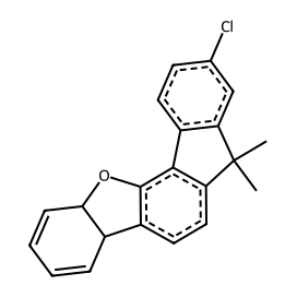 CC1(C)c2cc(Cl)ccc2-c2c1ccc1c2OC2C=CC=CC12